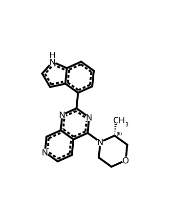 C[C@@H]1COCCN1c1nc(-c2cccc3[nH]ccc23)nc2cnccc12